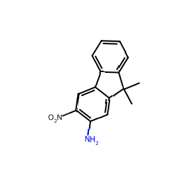 CC1(C)c2ccccc2-c2cc([N+](=O)[O-])c(N)cc21